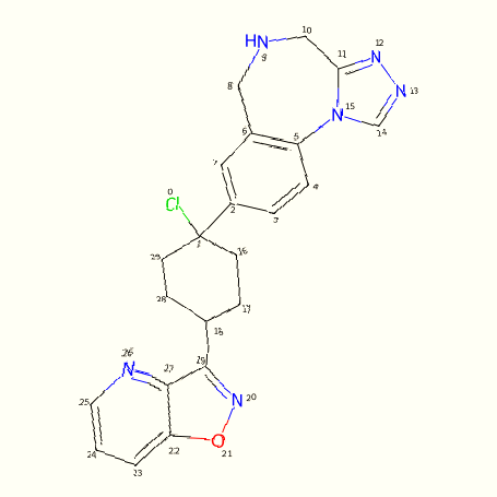 ClC1(c2ccc3c(c2)CNCc2nncn2-3)CCC(c2noc3cccnc23)CC1